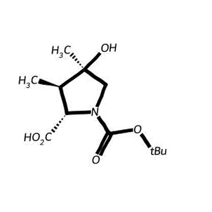 C[C@@H]1[C@@H](C(=O)O)N(C(=O)OC(C)(C)C)C[C@]1(C)O